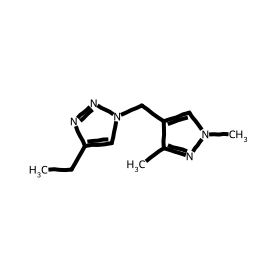 CCc1cn(Cc2cn(C)nc2C)nn1